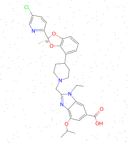 CCn1c(CN2CCC(c3cccc4c3O[C@@](C)(c3ccc(Cl)cn3)O4)CC2)nc2c(OC(C)C)cc(C(=O)O)cc21